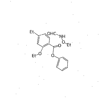 CCONC=O.CCOc1cc(CC)ccc1C(=O)Oc1ccccc1